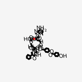 Nc1ncnc2c1ncn2[C@@H]1O[C@@H]2COP(=O)(SCc3ccc(OC(=O)c4ccc(O)cc4)cc3)O[C@@H]3C[C@@H](COP(=O)(O)O[C@@H]1C2)O[C@H]3n1cc(-c2ccccc2)c(=O)[nH]c1=O